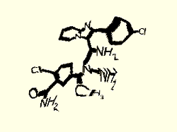 CC(c1ccc(Cl)c(C(N)=O)c1)N(N)/C=C(\N)c1c(-c2ccc(Cl)cc2)nc2ccccn12